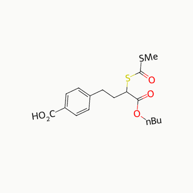 CCCCOC(=O)C(CCc1ccc(C(=O)O)cc1)SC(=O)SC